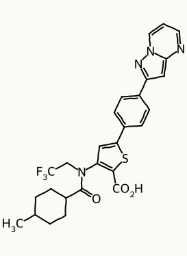 CC1CCC(C(=O)N(CC(F)(F)F)c2cc(-c3ccc(-c4cc5ncccn5n4)cc3)sc2C(=O)O)CC1